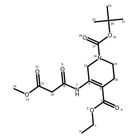 CCOC(=O)C1=C(NC(=O)CC(=O)OC)CN(C(=O)OC(C)(C)C)CC1